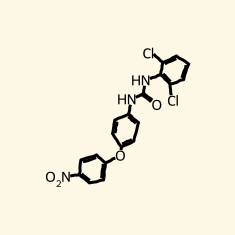 O=C(Nc1ccc(Oc2ccc([N+](=O)[O-])cc2)cc1)Nc1c(Cl)cccc1Cl